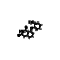 O=C1Cc2cccc(Oc3ccccc3C(F)(F)F)c2C(=O)N1